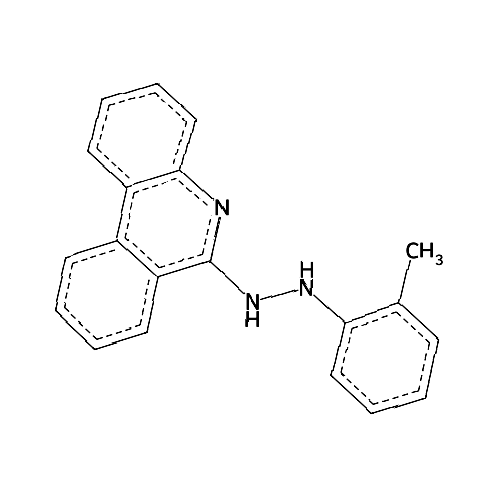 Cc1ccccc1NNc1nc2ccccc2c2ccccc12